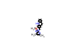 COc1nc2c(C)cc(C)nc2n1Cc1ccc2c(c1)CCc1ccccc1N2